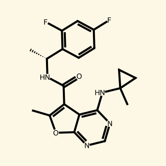 Cc1oc2ncnc(NC3(C)CC3)c2c1C(=O)N[C@H](C)c1ccc(F)cc1F